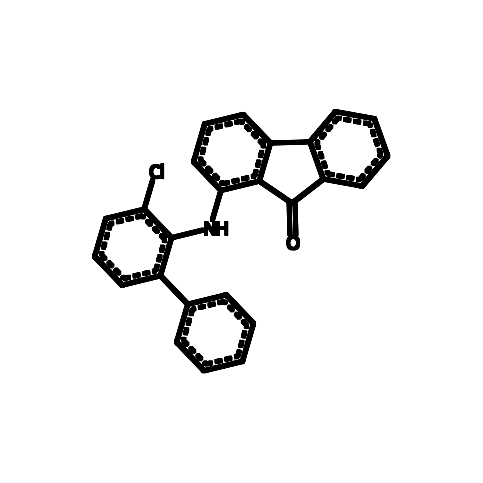 O=C1c2ccccc2-c2cccc(Nc3c(Cl)cccc3-c3ccccc3)c21